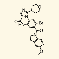 COc1cc2c(cn1)N(C(=O)c1cc3[nH]c(=O)c4cnc(C5CCOCC5)n4c3cc1Br)CC2